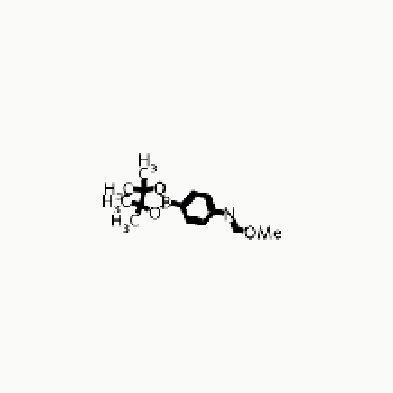 COC=Nc1ccc(B2OC(C)(C)C(C)(C)O2)cc1